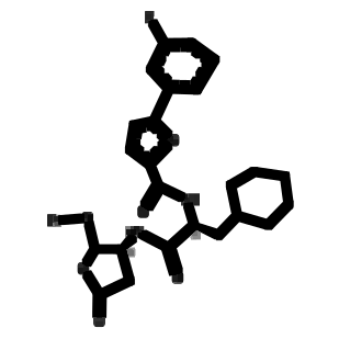 CCOC1OC(=O)C[C@@H]1NC(=O)[C@H](CC1CCCCC1)NC(=O)c1ccc(-c2cccc(F)c2)o1